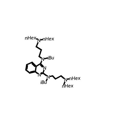 CCCCCCN(CCCCCC)CCCN(c1nc(N(CCCN(CCCCCC)CCCCCC)C(C)CC)c2ccccc2n1)C(C)CC